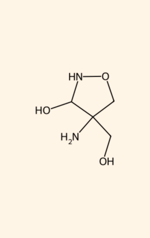 NC1(CO)CONC1O